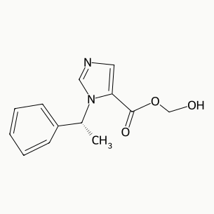 C[C@H](c1ccccc1)n1cncc1C(=O)OCO